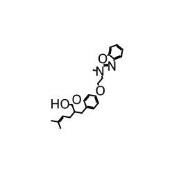 CC(C)=CCC(Cc1ccc(OCCN(C)c2nc3ccccc3o2)cc1)C(=O)O